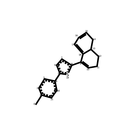 Cc1ccc(-c2ccc(C3=CCCC4CC=CC=C34)s2)cc1